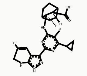 O=C(O)[C@H]1C2CCC(CC2)[C@@H]1Nc1nc(-c2n[nH]c3c2C=C(F)CN3)nc(C2CC2)c1F